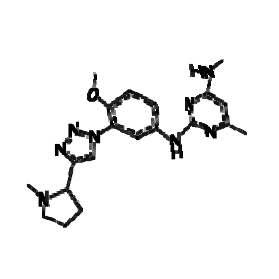 CNc1cc(C)nc(Nc2ccc(OC)c(-n3cc(C4CCCN4C)nn3)c2)n1